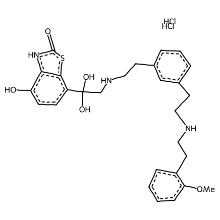 COc1ccccc1CCNCCc1cccc(CCNCC(O)(O)c2ccc(O)c3[nH]c(=O)sc23)c1.Cl.Cl